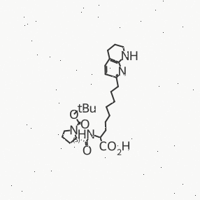 CC(C)(C)OC(=O)N1CCC[C@H]1C(=O)NC(CCCCCCCc1ccc2c(n1)NCCC2)C(=O)O